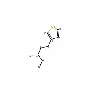 CC[C@H](C)CCc1ccsc1